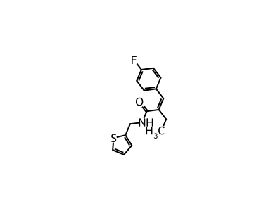 CCC(=Cc1ccc(F)cc1)C(=O)NCc1cccs1